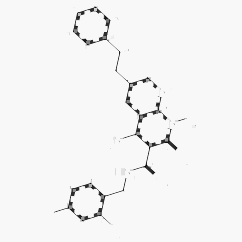 Nc1c(C(=O)NCc2ccc(F)cc2F)c(=O)n(O)c2ncc(CCc3ccccc3)cc12